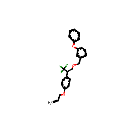 C=CCOc1ccc(C(COCc2cccc(Oc3ccccc3)c2)C(F)(F)F)cc1